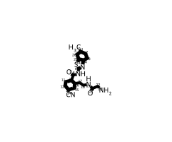 Cc1ccc2nc(NC(=O)c3ccc(C#N)cc3CCNC(=O)CN)sc2c1